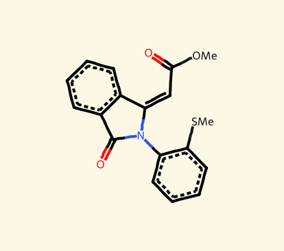 COC(=O)/C=C1\c2ccccc2C(=O)N1c1ccccc1SC